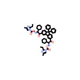 CCc1nc(C)cn1C(=O)O/N=C(/C(=O)c1ccc2c(c1)-c1cc(C(=O)/C(=N/OC(=O)n3cc(C)nc3CC)C3CCCCC3)ccc1C2(c1ccccc1)c1ccccc1)C1CCCCC1